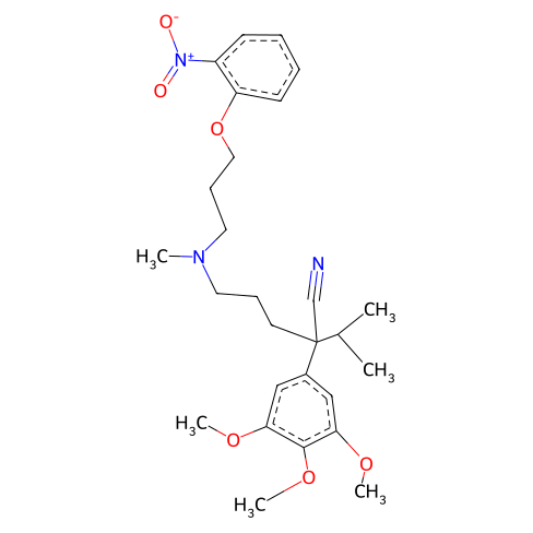 COc1cc(C(C#N)(CCCN(C)CCCOc2ccccc2[N+](=O)[O-])C(C)C)cc(OC)c1OC